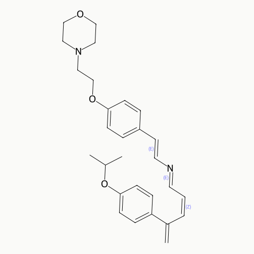 C=C(\C=C/C=N/C=C/c1ccc(OCCN2CCOCC2)cc1)c1ccc(OC(C)C)cc1